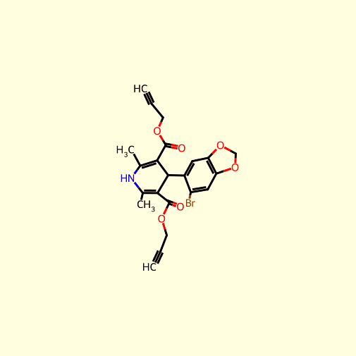 C#CCOC(=O)C1=C(C)NC(C)=C(C(=O)OCC#C)C1c1cc2c(cc1Br)OCO2